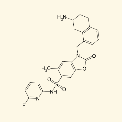 Cc1cc2c(cc1S(=O)(=O)Nc1cccc(F)n1)oc(=O)n2Cc1cccc2c1CC(N)CC2